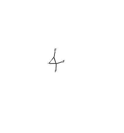 FC1[CH]C1(F)F